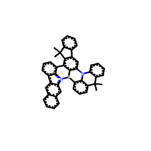 CC1(C)c2ccccc2N2c3cc4c(c5c3B(c3cccc1c32)n1c2cc3ccccc3cc2c2cccc-5c21)C(C)(C)c1ccccc1-4